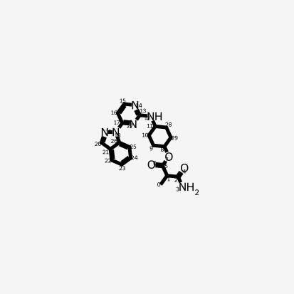 CC(C(N)=O)C(=O)OC1CCC(Nc2nccc(-n3ncc4ccccc43)n2)CC1